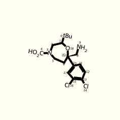 CC(C)(C)C1CN(C(=O)O)CC[C@@](CN)(c2ccc(Cl)c(Cl)c2)O1